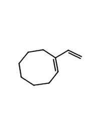 C=CC1=CCCCCCC1